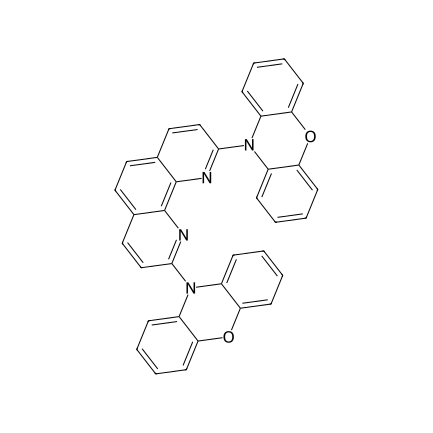 c1ccc2c(c1)Oc1ccccc1N2c1ccc2ccc3ccc(N4c5ccccc5Oc5ccccc54)nc3c2n1